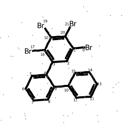 Brc1cc(-c2ccccc2-c2ccccc2)c(Br)c(Br)c1Br